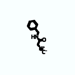 [C-]#[N+]CC(=O)NCc1ccccc1